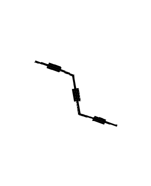 CC#CCC#CCC#CC